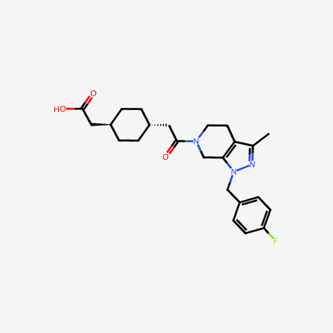 Cc1nn(Cc2ccc(F)cc2)c2c1CCN(C(=O)C[C@H]1CC[C@H](CC(=O)O)CC1)C2